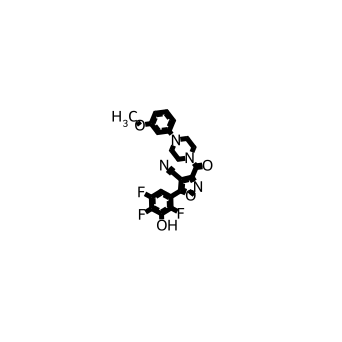 COc1cccc(N2CCN(C(=O)c3noc(-c4cc(F)c(F)c(O)c4F)c3C#N)CC2)c1